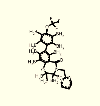 Bc1c(B)c(-c2c(B)c(B)c3c(c2B)C(=O)N(Cc2ncccn2)C(B)(B)C(B)(B)O3)c(B)c(B)c1OC(F)(F)F